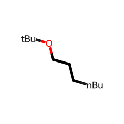 [CH2]CCCCCCOC(C)(C)C